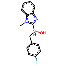 Cn1c([Si@@H](O)Cc2ccc(F)cc2)nc2ccccc21